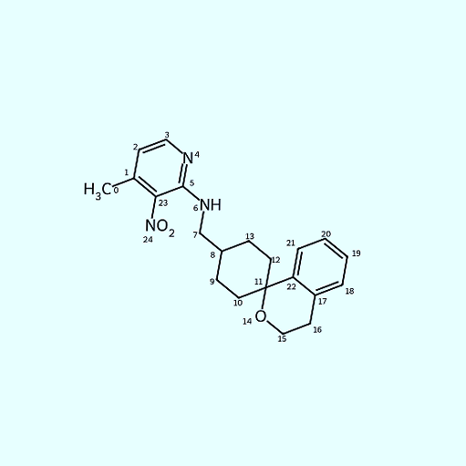 Cc1ccnc(NCC2CCC3(CC2)OCCc2ccccc23)c1[N+](=O)[O-]